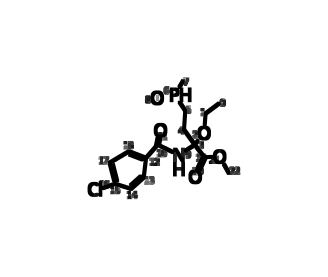 CCOC(CC[PH](C)=O)(NC(=O)c1ccc(Cl)cc1)C(=O)OC